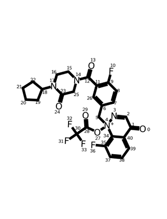 O=C1C=N[N+](Cc2ccc(F)c(C(=O)N3CCN(C4CCCC4)C(=O)C3)c2)(OC(=O)C(F)(F)F)c2c(F)cccc21